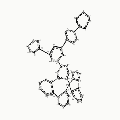 c1cncc(-c2ccc(-c3cc(-c4cccnc4)nc(-c4ccc5c(c4)-c4ccccc4-c4ccccc4C54c5ccccc5-c5ccccc54)n3)cc2)c1